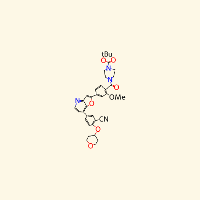 COc1cc(-c2cc3nccc(-c4ccc(OC5CCOCC5)c(C#N)c4)c3o2)ccc1C(=O)N1CCN(C(=O)OC(C)(C)C)CC1